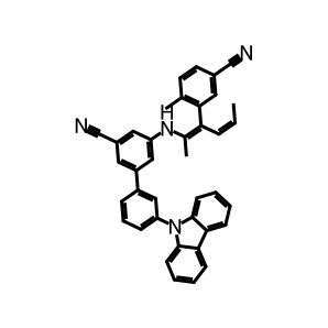 C/C=C\C(=C(/C)Nc1cc(C#N)cc(-c2cccc(-n3c4ccccc4c4ccccc43)c2)c1)c1cc(C#N)ccc1C